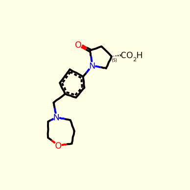 O=C(O)[C@H]1CC(=O)N(c2ccc(CN3CCCOCC3)cc2)C1